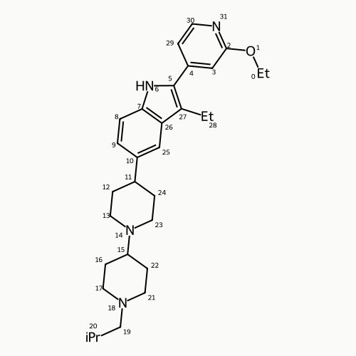 CCOc1cc(-c2[nH]c3ccc(C4CCN(C5CCN(CC(C)C)CC5)CC4)cc3c2CC)ccn1